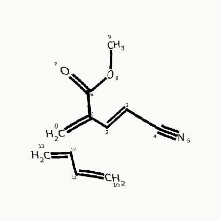 C=C(C=CC#N)C(=O)OC.C=CC=C